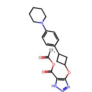 O=C(OC(=O)C(F)(F)F)c1[nH]nnc1OC1CC(c2ccc(N3CCCCC3)cc2)C1